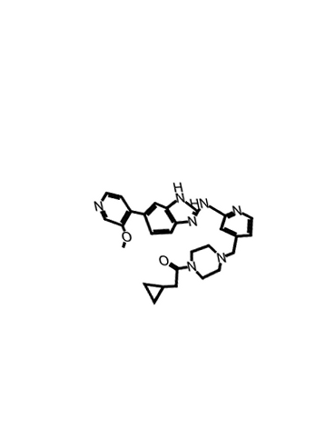 COc1cnccc1-c1ccc2nc(Nc3cc(CN4CCN(C(=O)CC5CC5)CC4)ccn3)[nH]c2c1